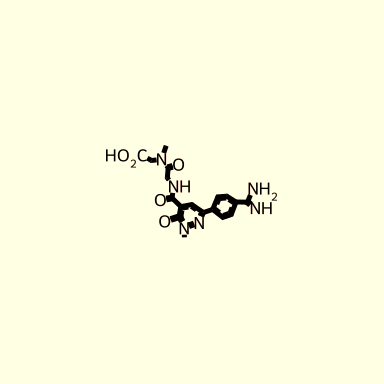 CN(CC(=O)O)C(=O)CNC(=O)c1cc(-c2ccc(C(=N)N)cc2)nn(C)c1=O